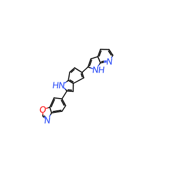 c1cnc2[nH]c(-c3ccc4[nH]c(-c5ccc6ncoc6c5)cc4c3)cc2c1